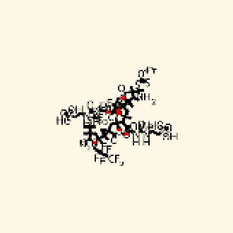 COC(=O)C(C(C)(C)CC(C)(C(=O)OCCNC(=O)NCCP(=O)(O)O)C(C)(C)C(C)C(C)(C(=O)OCC(F)(F)C(F)(F)C(F)(F)F)C(C)(N)SC(=S)OC(C)C)C(C)(C)CC1(C(=O)OCCNC(=O)NCCP(=O)(O)O)CC1(C)C(C)(N)CC(C)(C(=O)OCC(F)(F)C(F)(F)C(F)(F)F)C(C)(C)SC(=S)OC(C)C